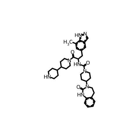 Cc1cc(CC(NC(=O)N2CCC(N3CCc4ccccc4NC3=O)CC2)C(=O)N2CCC(C3CCNCC3)CC2)cc2cn[nH]c12